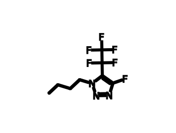 CCCCn1nnc(F)c1C(F)(F)C(F)(F)F